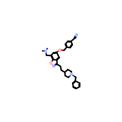 CN(C)Cc1cc(OCc2ccc(C#N)cc2)cc2c(CCC3CCN(Cc4ccccc4)CC3)noc12